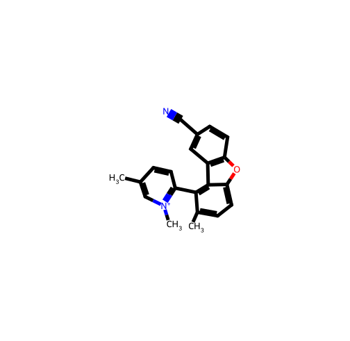 Cc1ccc(-c2c(C)ccc3oc4ccc(C#N)cc4c23)[n+](C)c1